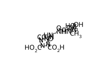 C[C@@H](NC(=O)c1ccc(C(=O)NCCCCNC(=O)CN2CCN(CC(=O)O)CCN(CC(=O)O)CCN(CC(=O)O)CC2)cc1)C(=O)N1CCC[C@H]1B(O)O